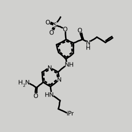 C=CCNC(=O)c1cc(Nc2ncc(C(N)=O)c(NCCC(C)C)n2)ccc1OS(C)(=O)=O